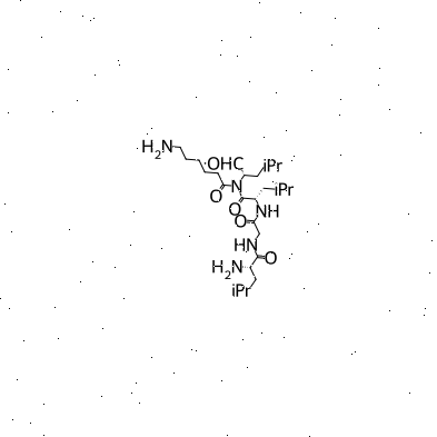 CC(C)C[C@H](NC(=O)CNC(=O)[C@@H](N)CC(C)C)C(=O)N(C(=O)CCCCCN)[C@H]([C]=O)CC(C)C